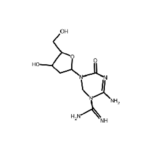 N=C(N)N1CN(C2CC(O)C(CO)O2)C(=O)N=C1N